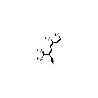 C=C(C)\C(C#N)=C/C=C(C)\C=C/C